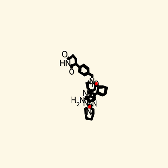 Nc1nnc(-c2ccccc2O)cc1N1CC2CCC(C1)N2c1ncc(C2CCN(Cc3ccc(C4CCC(=O)NC4=O)cc3)CC2)cn1